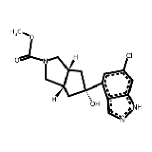 COC(=O)N1C[C@@H]2C[C@@](O)(c3cc(Cl)cc4[nH]ncc34)C[C@@H]2C1